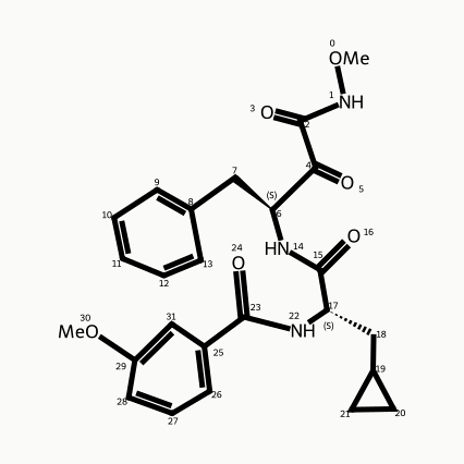 CONC(=O)C(=O)[C@H](Cc1ccccc1)NC(=O)[C@H](CC1CC1)NC(=O)c1cccc(OC)c1